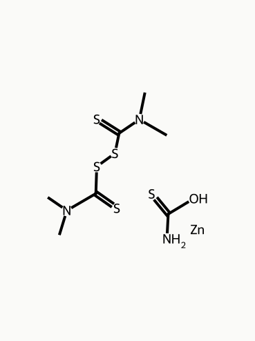 CN(C)C(=S)SSC(=S)N(C)C.NC(O)=S.[Zn]